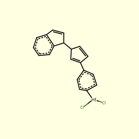 [Cl][Hf]([Cl])[c]1ccc(C2=CC(C3C=Cc4ccccc43)C=C2)cc1